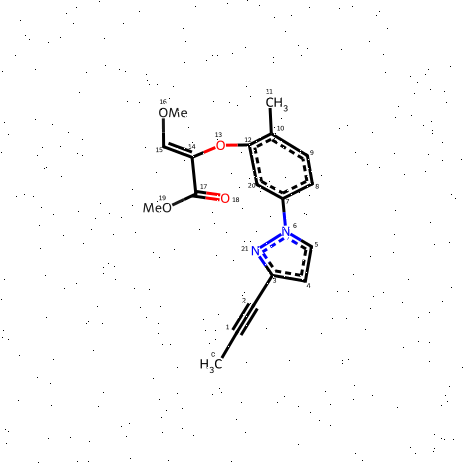 CC#Cc1ccn(-c2ccc(C)c(O/C(=C\OC)C(=O)OC)c2)n1